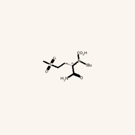 CC(C)(C)N(C(=O)O)[C@@H](CCS(C)(=O)=O)C(N)=O